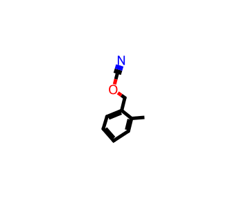 Cc1ccccc1COC#N